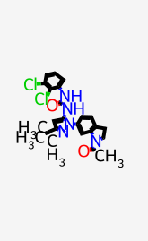 CC(=O)N1CCc2ccc(-n3nc(C(C)(C)C)cc3NC(=O)Nc3cccc(Cl)c3Cl)cc21